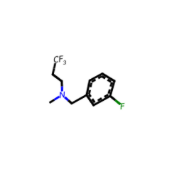 CN(CCC(F)(F)F)Cc1cccc(F)c1